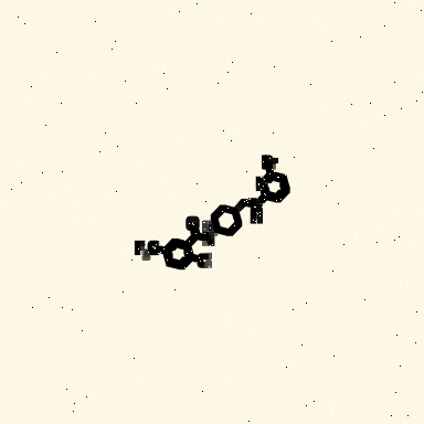 O=C(N[C@H]1CC[C@H](CNc2cccc(Br)n2)CC1)c1cc(C(F)(F)F)ccc1Cl